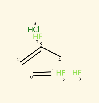 C=C.C=CC.Cl.F.F.F